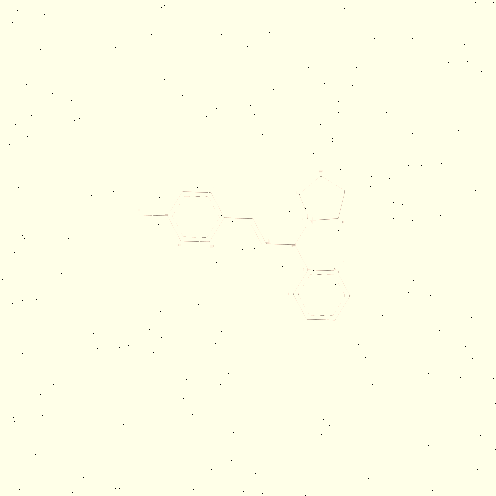 Cc1ccc(C=CC(c2ccccn2)N2CCCC2)cc1